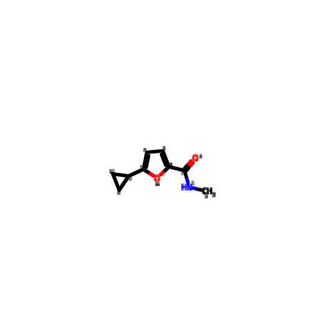 CNC(=O)c1ccc(C2CC2)o1